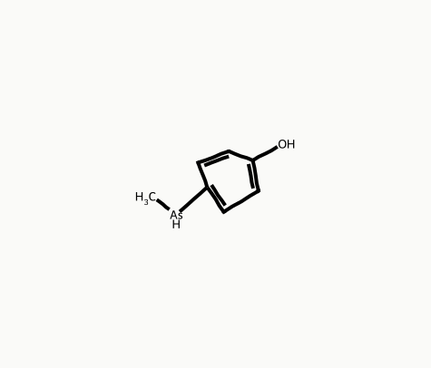 C[AsH]c1ccc(O)cc1